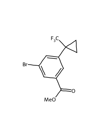 COC(=O)c1cc(Br)cc(C2(C(F)(F)F)CC2)c1